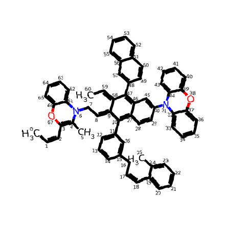 C/C=C\C1=C(C)N(C/C=c2/c(-c3cccc(C/C=C\c4ccccc4C)c3)c3ccc(N4c5ccccc5Oc5ccccc54)cc3c(-c3ccc4ccccc4c3)/c2=C/C)c2ccccc2O1